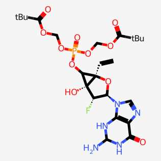 C=C[C@]12O[C@@H](n3cnc4c3NC(N)NC4=O)[C@H](F)[C@@]1(O)C2OP(=O)(OCOC(=O)C(C)(C)C)OCOC(=O)C(C)(C)C